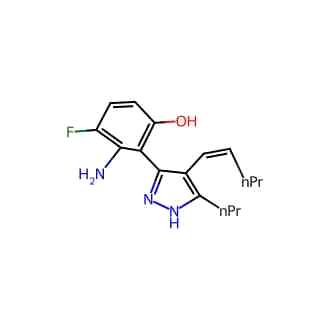 CCC/C=C\c1c(-c2c(O)ccc(F)c2N)n[nH]c1CCC